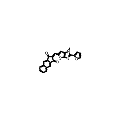 Cn1c(-c2ccco2)nc2sc(C=C3C(=O)c4cc5ccccc5cc4C3=O)cc21